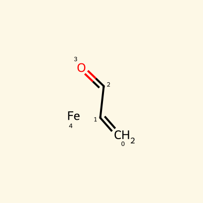 C=CC=O.[Fe]